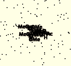 COc1ccc(CN(Cc2ccc(OC)cc2OC)c2ncnc(N(N)C3CCCC(C(=O)NCC(C)=O)C3)c2N)c(OC)c1